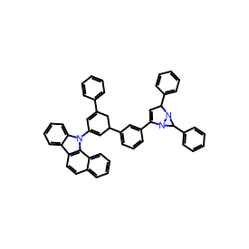 C1=C(c2ccccc2)CC(c2cccc(C3=CC(c4ccccc4)N4C(c5ccccc5)N34)c2)C=C1n1c2ccccc2c2ccc3ccccc3c21